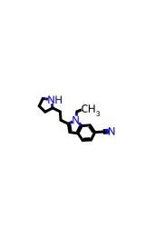 CCn1c(CCC2CCCN2)cc2ccc(C#N)cc21